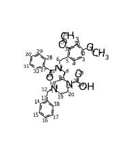 COc1ccc(CN(C[C@@H]2CN(Cc3ccccc3)CCN2C(=O)O)C(=O)c2ccccc2)c(OC)c1